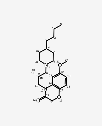 CCCCC1CCN(C[C@@H](C)CN2C(=O)COc3ccc(OC)cc32)CC1